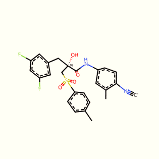 [C-]#[N+]c1ccc(NC(=O)[C@](O)(Cc2cc(F)cc(F)c2)CS(=O)(=O)c2ccc(C)cc2)cc1C